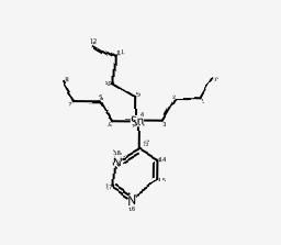 CCC[CH2][Sn]([CH2]CCC)([CH2]CCC)[c]1ccncn1